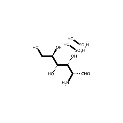 N[C@@H](C=O)[C@@H](O)[C@H](O)[C@H](O)CO.O=S(=O)(O)O.O=S(=O)(O)O